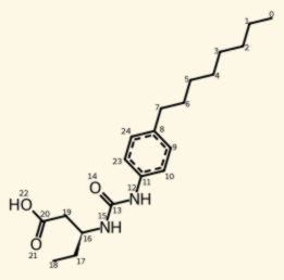 CCCCCCCCc1ccc(NC(=O)N[C@@H](CC)CC(=O)O)cc1